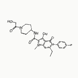 CCc1cc2c(c(O)c(C(=O)NC3CCN(C(=O)CO)CC3)n2C)c(=O)n1-c1ccc(F)cc1